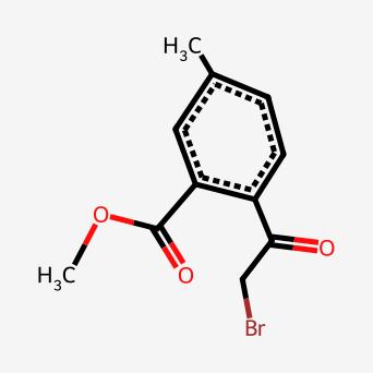 COC(=O)c1cc(C)ccc1C(=O)CBr